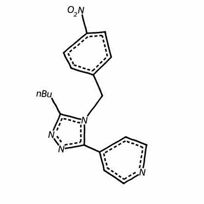 CCCCc1nnc(-c2ccncc2)n1Cc1ccc([N+](=O)[O-])cc1